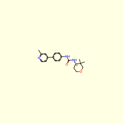 Cc1cc(-c2ccc(NC(=O)N[C@@H]3CCOCC3(C)C)cc2)ccn1